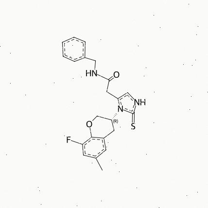 Cc1cc(F)c2c(c1)C[C@@H](n1c(CC(=O)NCc3ccccc3)c[nH]c1=S)CO2